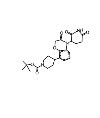 CC(C)(C)OC(=O)N1CCC(c2cccc3c2OCC(=O)N3C2CCC(=O)NC2=O)CC1